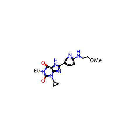 CCn1c(=O)c2[nH]c(-c3ccc(NCCOC)nc3)nc2n(C2CC2)c1=O